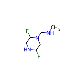 CNCN1CC(F)NCC1F